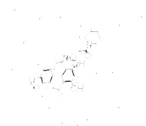 CC(C)c1cc(/C(Cc2ccc3c(c2)OCO3)=N\OCC(=O)N2CCCCC2)c(O)cc1O